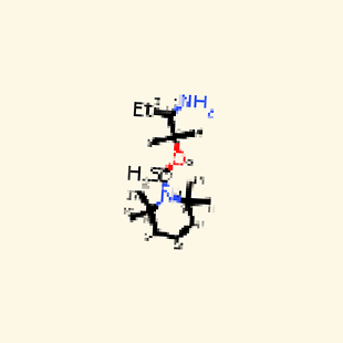 CCC(N)C(C)(C)O[SiH2]N1C(C)(C)CCCC1(C)C